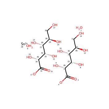 O.O.O=C([O-])[C@H](O)[C@@H](O)[C@H](O)[C@H](O)CO.O=C([O-])[C@H](O)[C@@H](O)[C@H](O)[C@H](O)CO.[Sn+2]